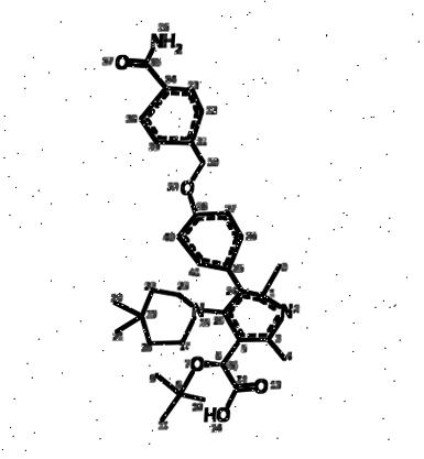 Cc1nc(C)c([C@H](OC(C)(C)C)C(=O)O)c(N2CCC(C)(C)CC2)c1-c1ccc(OCc2ccc(C(N)=O)cc2)cc1